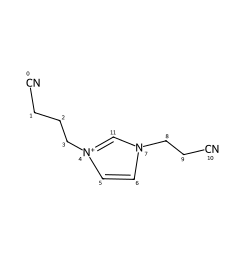 N#CCCC[n+]1ccn(CCC#N)c1